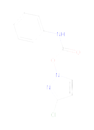 O=C(Nc1ccccc1)On1ccc(Cl)n1